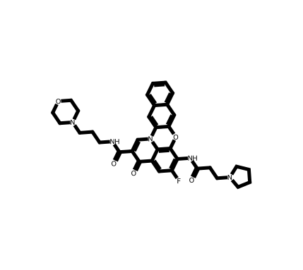 O=C(CCN1CCCC1)Nc1c(F)cc2c(=O)c(C(=O)NCCCN3CCOCC3)cn3c2c1Oc1cc2ccccc2cc1-3